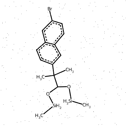 C[SiH2]OC(O[SiH2]C)C(C)(C)c1ccc2cc(Br)ccc2c1